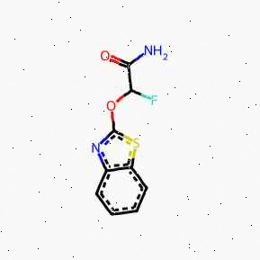 NC(=O)C(F)Oc1nc2ccccc2s1